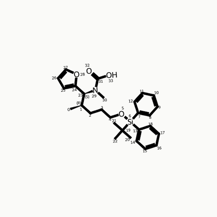 C[C@H](CCCO[Si](c1ccccc1)(c1ccccc1)C(C)(C)C)[C@@H](c1ccco1)N(C)C(=O)O